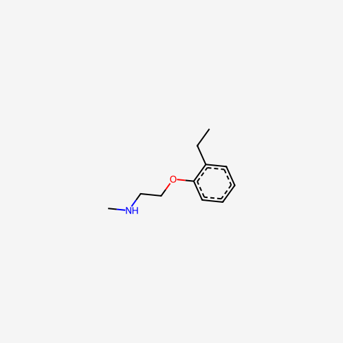 CCc1ccccc1OCCNC